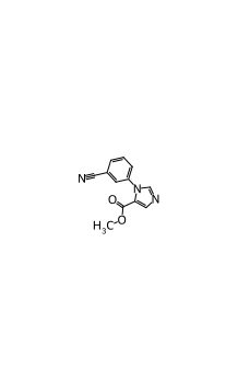 COC(=O)c1cncn1-c1cccc(C#N)c1